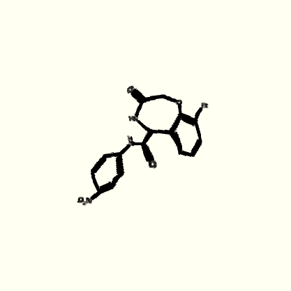 CCc1cccc2c1OCC(=O)NC2C(=O)Nc1ccc([N+](=O)[O-])cc1